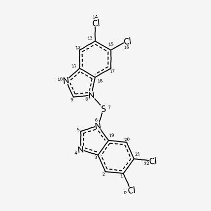 Clc1cc2ncn(Sn3cnc4cc(Cl)c(Cl)cc43)c2cc1Cl